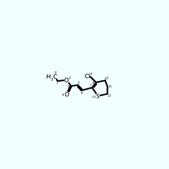 CCOC(=O)/C=C/C1=C(Cl)CCCS1